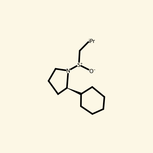 CC(C)C[S+]([O-])N1CCC[C@@H]1C1CCCCC1